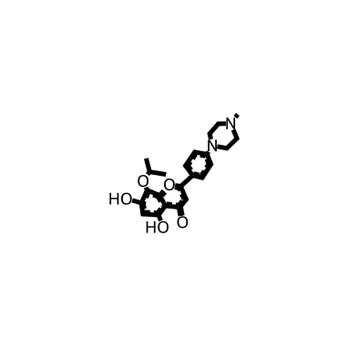 CC(C)Oc1c(O)cc(O)c2c(=O)cc(-c3ccc(N4CCN(C)CC4)cc3)oc12